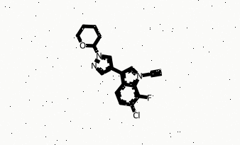 C#Cn1cc(-c2cnn(C3CCCCO3)c2)c2ccc(Cl)c(F)c21